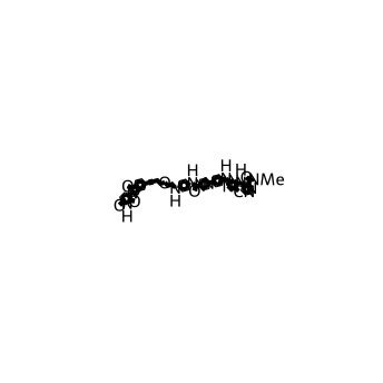 CNC(=O)c1ncccc1Nc1nc(Nc2ccc(N3CCN(C(=O)N[C@H]4CC[C@@H](NCCOCCC#Cc5ccc6c(c5)CN(C5CCC(=O)NC5=O)C6=O)CC4)CC3)cc2)ncc1C#N